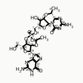 CCOC1C(O)[C@@H](COP(=O)(O)OC2C(OCC)[C@H](n3cnc4c(=O)[nH]c(N)nc43)O[C@@H]2CO)O[C@H]1n1cnc(N)nc1=O